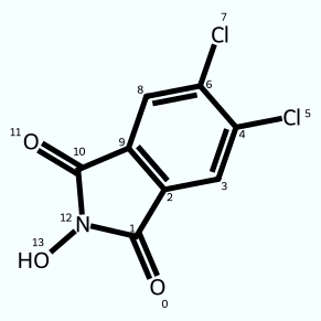 O=C1c2cc(Cl)c(Cl)cc2C(=O)N1O